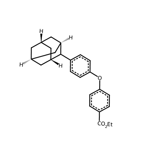 CCOC(=O)c1ccc(Oc2ccc(C3[C@H]4C[C@@H]5C[C@@H](C[C@H]3C5)C4)cc2)cc1